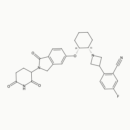 N#Cc1cc(F)ccc1C1CN([C@H]2CCCC[C@H]2Oc2ccc3c(c2)CN(C2CCC(=O)NC2=O)C3=O)C1